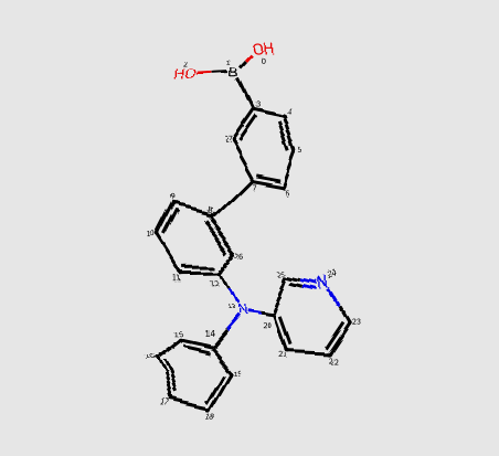 OB(O)c1cccc(-c2cccc(N(c3ccccc3)c3cccnc3)c2)c1